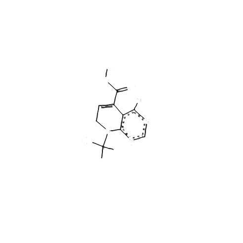 COC(=O)C1=CCN(C(C)(C)C)c2ncnc(N)c21